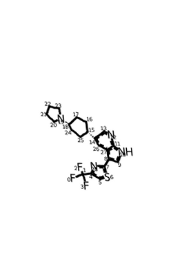 FC(F)(F)c1csc(-c2c[nH]c3ncc([C@H]4CC[C@@H](N5CCCC5)CC4)cc23)n1